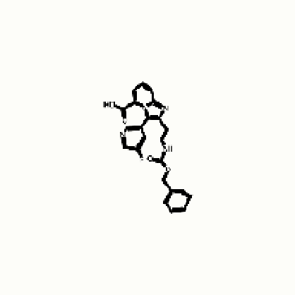 O=C(NCCc1nc2cccc(C(=O)O)n2c1-c1cncc(F)c1)OCc1ccccc1